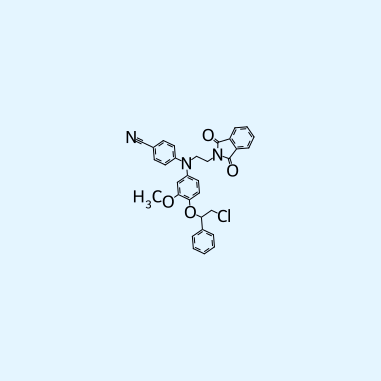 COc1cc(N(CCN2C(=O)c3ccccc3C2=O)c2ccc(C#N)cc2)ccc1OC(CCl)c1ccccc1